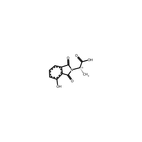 C[C@@H](C(=O)O)N1C(=O)c2cccc(O)c2C1=O